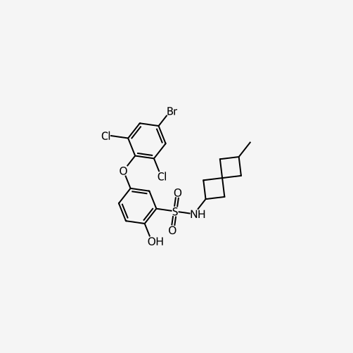 CC1CC2(C1)CC(NS(=O)(=O)c1cc(Oc3c(Cl)cc(Br)cc3Cl)ccc1O)C2